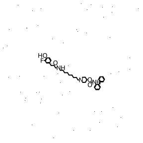 O=C(CNCCCCCCCCCN1CCC(OC(=O)Nc2ccccc2-c2ccccc2)CC1)Cc1ccc(O)c(F)c1